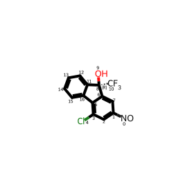 O=Nc1cc(Cl)c2c(c1)[C@@](O)(C(F)(F)F)c1ccccc1-2